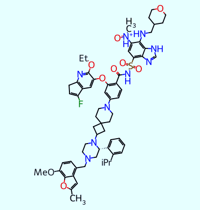 CCOc1nc2c(cc1Oc1cc(N3CCC4(CC3)CC(N3CCN(Cc5ccc(OC)c6oc(C)cc56)C[C@H]3c3ccccc3C(C)C)C4)ccc1C(=O)NS(=O)(=O)c1cc([NH+](C)[O-])c(NCC3CCOCC3)c3[nH]cnc13)C(F)=CC2